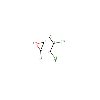 CC(Cl)CCl.CC1CO1